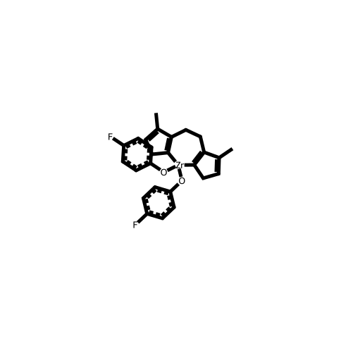 CC1=CC[C]2=C1CCC1=[C](CC=C1C)[Zr]2([O]c1ccc(F)cc1)[O]c1ccc(F)cc1